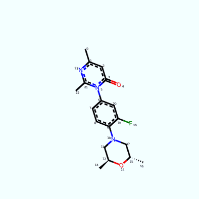 Cc1cc(=O)n(-c2ccc(N3C[C@H](C)O[C@@H](C)C3)c(F)c2)c(C)n1